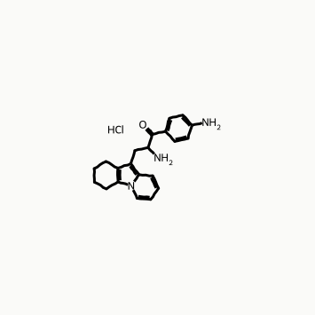 Cl.Nc1ccc(C(=O)C(N)Cc2c3c(n4ccccc24)CCCC3)cc1